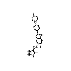 CC1=C(ONc2cnc3[nH]c(-c4ccc(N5CCN(C)CC5)cc4)cc3c2)NNC1C